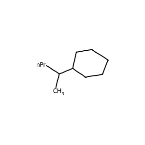 CCCC(C)C1CCCCC1